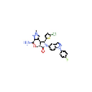 CC1C(=O)N(c2ccc3c(cnn3-c3ccc(F)cc3)c2)C(c2ccc(Cl)s2)C1c1cn(C)nc1C(N)=O